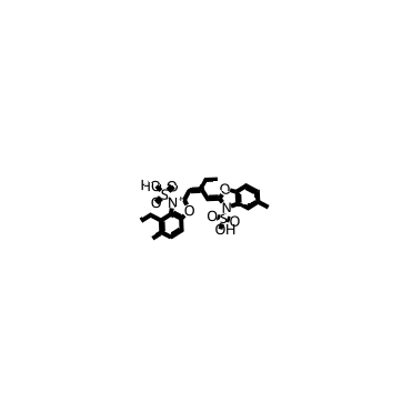 CCC(=Cc1oc2ccc(C)c(CC)c2[n+]1S(=O)(=O)O)C=C1Oc2ccc(C)cc2N1S(=O)(=O)O